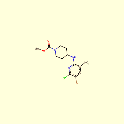 CC(C)(C)OC(=O)N1CCC(Nc2nc(Cl)c(Br)cc2[N+](=O)[O-])CC1